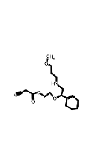 COCCCNCC(OCCOC(=O)CC#N)C1=CCCCC1